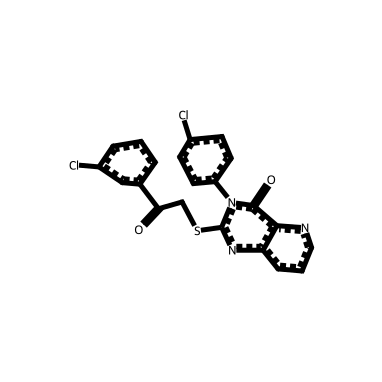 O=C(CSc1nc2cccnc2c(=O)n1-c1ccc(Cl)cc1)c1cccc(Cl)c1